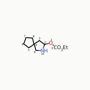 CCOC(=O)OC1CC2(CCCC2)CN1